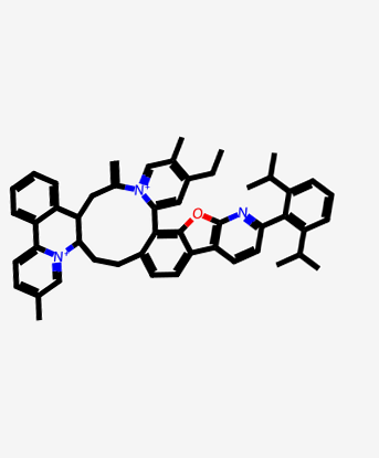 C=C1CC2c3ccccc3-c3ccc(C)c[n+]3C2CCc2ccc3c(oc4nc(-c5c(C(C)C)cccc5C(C)C)ccc43)c2-c2cc(CC)c(C)c[n+]21